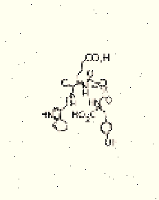 O=C(O)CCC[C@H](NC(=O)[C@H]1O[C@@H]1C(=O)N[C@@H](Cc1ccc(O)cc1)C(=O)O)C(=O)NCCc1c[nH]c2ccccc12